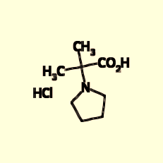 CC(C)(C(=O)O)N1CCCC1.Cl